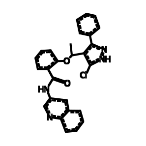 CC(Oc1ccccc1C(=O)Nc1cnc2ccccc2c1)c1c(-c2ccccc2)n[nH]c1Cl